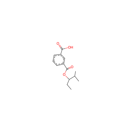 CCC(OC(=O)c1cccc(C(=O)O)c1)C(C)C